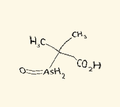 CC(C)([AsH2]=O)C(=O)O